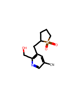 N#Cc1cnc(CO)c(CC2CCCS2(=O)=O)c1